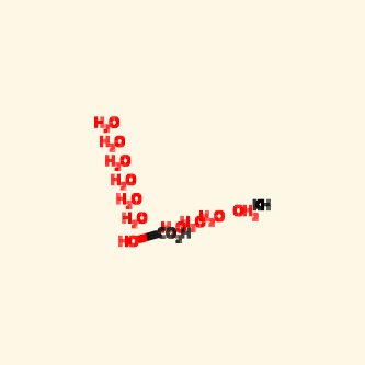 O.O.O.O.O.O.O.O.O.O.O=C(O)O.[KH]